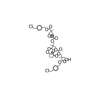 CC(CO)(COC(=O)OCC(C)(COC(=O)OCC(C)(CO)C(=O)OCc1ccc(CCl)cc1)C(=O)ON1C(=O)CCC1=O)C(=O)OCc1ccc(CCl)cc1